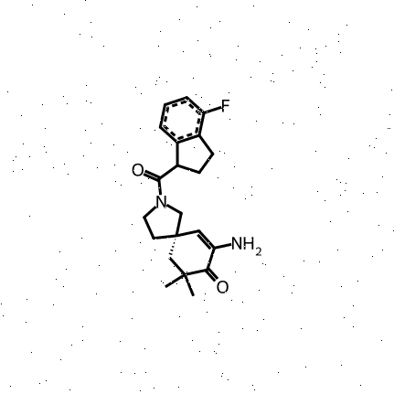 CC1(C)C[C@]2(C=C(N)C1=O)CCN(C(=O)C1CCc3c(F)cccc31)C2